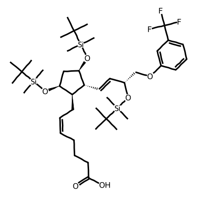 CC(C)(C)[Si](C)(C)O[C@H](/C=C/[C@@H]1[C@@H](C/C=C\CCCC(=O)O)[C@@H](O[Si](C)(C)C(C)(C)C)C[C@H]1O[Si](C)(C)C(C)(C)C)COc1cccc(C(F)(F)F)c1